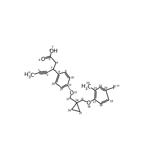 CC#CC(CC(=O)O)c1ccc(OCC2(COc3ccc(F)cc3C)CC2)cc1